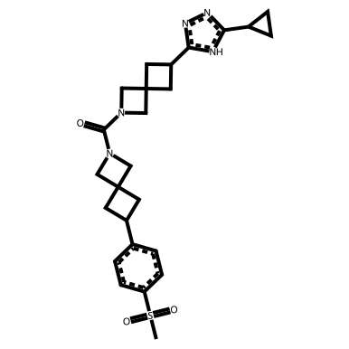 CS(=O)(=O)c1ccc(C2CC3(C2)CN(C(=O)N2CC4(CC(c5nnc(C6CC6)[nH]5)C4)C2)C3)cc1